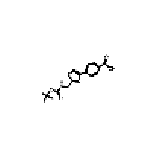 CC(C)(C)OC(=O)NCc1nc(-c2ccc(C(=O)O)cc2)cs1